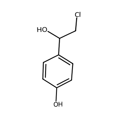 Oc1ccc(C(O)CCl)cc1